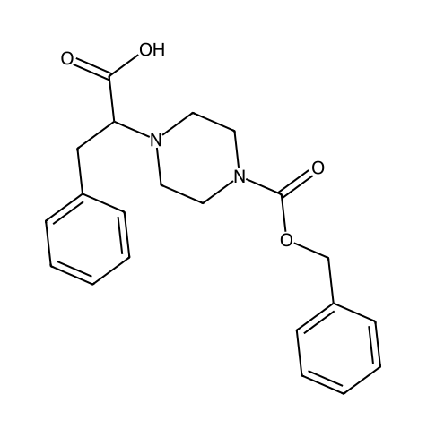 O=C(O)C(Cc1ccccc1)N1CCN(C(=O)OCc2ccccc2)CC1